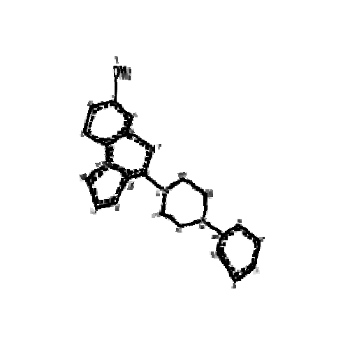 COc1ccc2c(c1)nc(N1CCN(c3ccccc3)CC1)c1cccn12